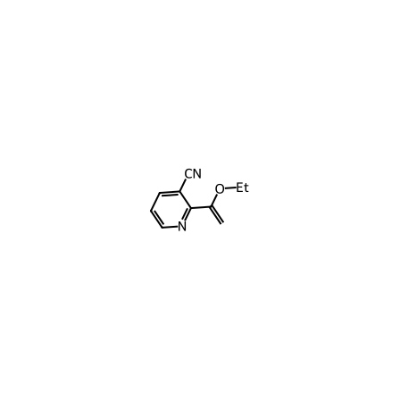 C=C(OCC)c1ncccc1C#N